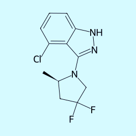 C[C@@H]1CC(F)(F)CN1c1n[nH]c2cccc(Cl)c12